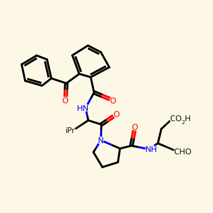 CC(C)C(NC(=O)c1ccccc1C(=O)c1ccccc1)C(=O)N1CCCC1C(=O)NC(C=O)CC(=O)O